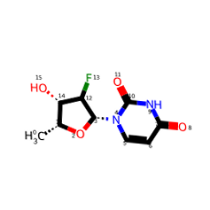 C[C@H]1O[C@@H](n2ccc(=O)[nH]c2=O)C(F)[C@H]1O